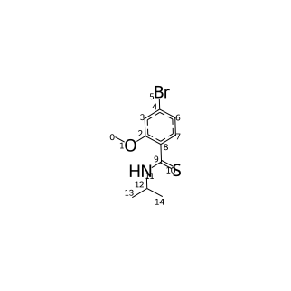 COc1cc(Br)ccc1C(=S)NC(C)C